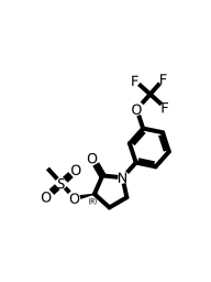 CS(=O)(=O)O[C@@H]1CCN(c2cccc(OC(F)(F)F)c2)C1=O